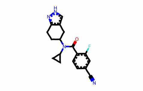 N#Cc1ccc(C(=O)N(C2CC2)C2CCc3n[nH]cc3C2)c(F)c1